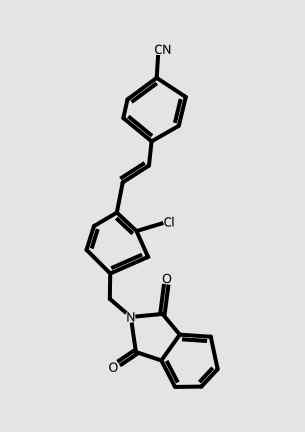 N#Cc1ccc(C=Cc2ccc(CN3C(=O)c4ccccc4C3=O)cc2Cl)cc1